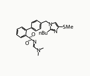 CCCCc1nc(SC)cn1Cc1ccc(-c2ccccc2S(=O)(=O)N=CN(C)C)cc1